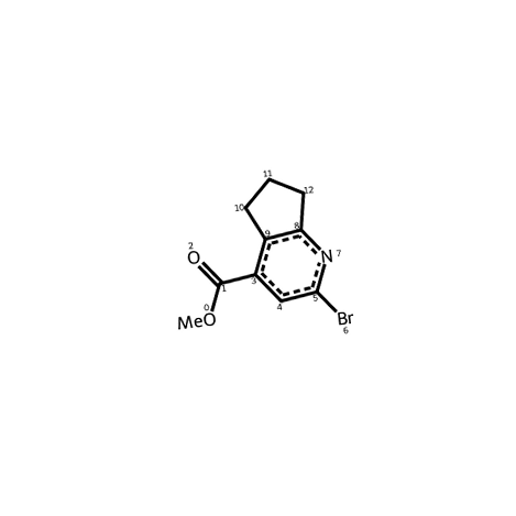 COC(=O)c1cc(Br)nc2c1CCC2